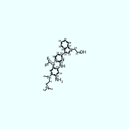 CN(C)CCN(C)c1cc(OC(F)F)c(Nc2nccc(-c3cn(CCO)c4ccccc34)n2)cc1N